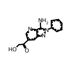 Nc1c2ncc(C(=O)CO)cc2nn1-c1ccccc1